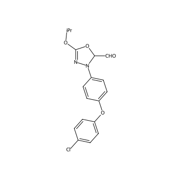 CC(C)OC1=NN(c2ccc(Oc3ccc(Cl)cc3)cc2)C(C=O)O1